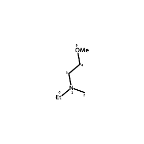 C[CH]N(C)CCOC